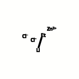 [Cl-].[Cl-].[Li][CH2]C.[Zn+2]